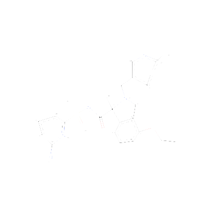 CCOc1cccc2c1CN(Cc1ccc(Cl)nc1)C2(C)C(=O)NS(=O)(=O)c1cccc(N)n1